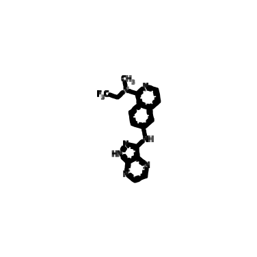 CN(CC(F)(F)F)c1nccc2cc(Nc3n[nH]c4nccnc34)ccc12